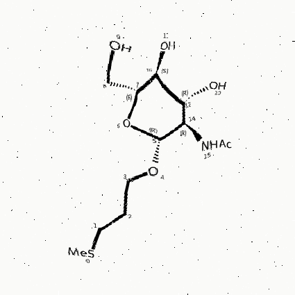 CSCCCO[C@@H]1O[C@H](CO)[C@@H](O)[C@H](O)[C@H]1NC(C)=O